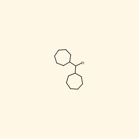 CCC(C1CCCCCC1)C1CCCCCC1